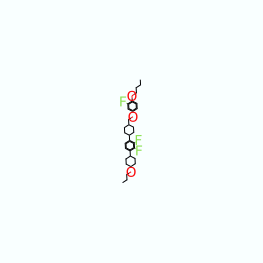 CCCCOc1ccc(OCC2CCC(c3ccc(C4CCC(OCCC)CC4)c(F)c3F)CC2)cc1F